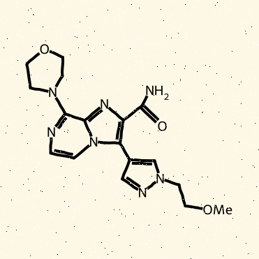 COCCn1cc(-c2c(C(N)=O)nc3c(N4CCOCC4)nccn23)cn1